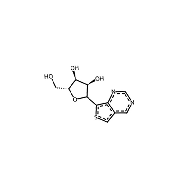 OC[C@H]1OC(c2scc3cncnc23)[C@H](O)[C@@H]1O